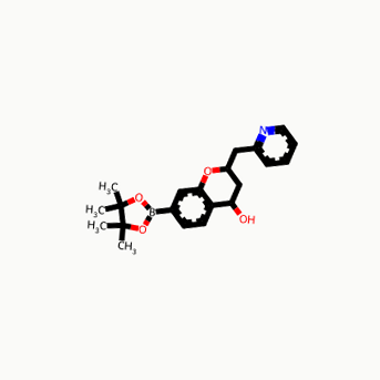 CC1(C)OB(c2ccc3c(c2)OC(Cc2ccccn2)CC3O)OC1(C)C